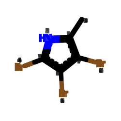 Cc1[nH]c(Br)c(Br)c1Br